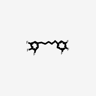 Fc1cc(CCCCCc2cc(F)c(F)c(F)c2)cc(F)c1F